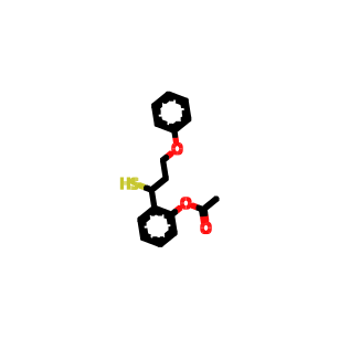 CC(=O)Oc1ccccc1C(S)CCOc1ccccc1